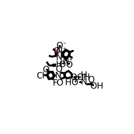 C#CC(C)Oc1cc(N2C(=O)C3=C(CCCC3)C2=O)c(F)cc1Cl.CCC(CC)Nc1c([N+](=O)[O-])cc(C)c(C)c1[N+](=O)[O-].O=C(O)CNCP(=O)(O)O